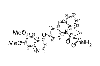 COc1cc2nccc(Oc3ccc(N(C(=O)C4(C(N)=O)CC4)c4ccccc4F)cc3)c2cc1OC